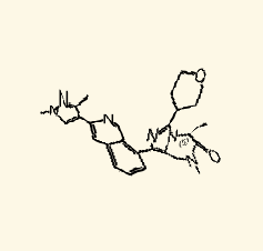 Cc1nn(C)cc1-c1cc2cccc(-c3nc(C4CCOCC4)n4c3CN(C)C(=O)[C@@H]4C)c2cn1